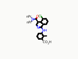 CCCN(CCC)C(=O)c1cnc(Nc2cccc(C(=O)O)c2C)c2cccc(Cl)c12